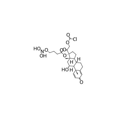 C[C@]12C=CC(=O)C=C1CC[C@@H]1[C@@H]2[C@@H](O)C[C@@]2(C)[C@H]1CC[C@]2(OC(=O)CCCON(O)O)C(=O)COC(=O)Cl